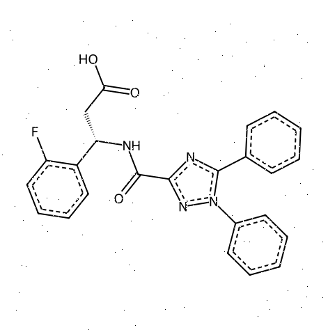 O=C(O)C[C@H](NC(=O)c1nc(-c2ccccc2)n(-c2ccccc2)n1)c1ccccc1F